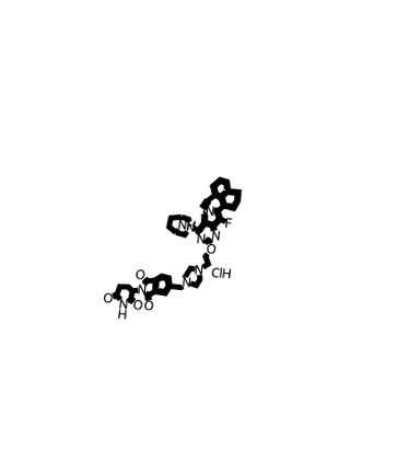 C#Cc1cccc2cccc(-c3ncc4c(N5CC6CCC(C5)N6)nc(OCCN5CCN(Cc6ccc7c(c6)C(=O)N(C6CCC(=O)NC6=O)C7=O)CC5)nc4c3F)c12.Cl